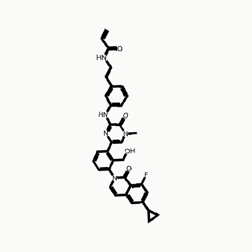 C=CC(=O)NCCc1cccc(Nc2nc(-c3cccc(-n4ccc5cc(C6CC6)cc(F)c5c4=O)c3CO)cn(C)c2=O)c1